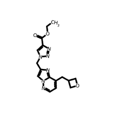 CCOC(=O)c1cn(Cc2cn3nccc(CC4COC4)c3n2)nn1